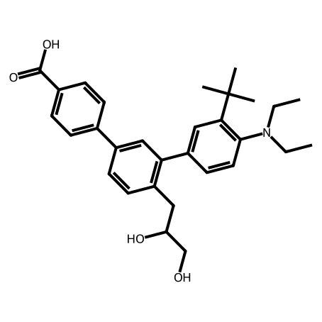 CCN(CC)c1ccc(-c2cc(-c3ccc(C(=O)O)cc3)ccc2CC(O)CO)cc1C(C)(C)C